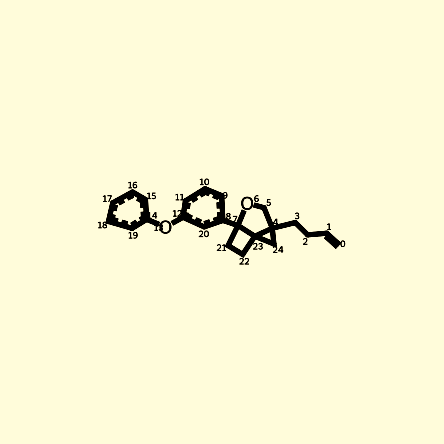 C=CCCC12COC3(c4cccc(Oc5ccccc5)c4)CCC13C2